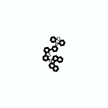 c1cc(B2c3ccccc3Oc3ccccc32)cc(-c2cccc3c2sc2c(-n4c5ccc6ccccc6c5c5c6ccccc6ccc54)cccc23)c1